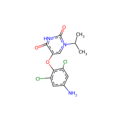 CC(C)n1cc(Oc2c(Cl)cc(N)cc2Cl)c(=O)[nH]c1=O